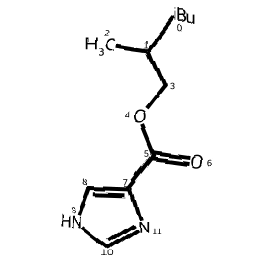 CCC(C)C(C)COC(=O)c1c[nH]cn1